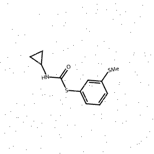 CSc1cccc(SC(=O)NC2CC2)c1